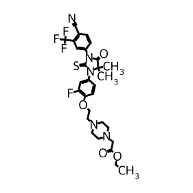 CCOC(=O)CN1CCN(CCOc2ccc(N3C(=S)N(c4ccc(C#N)c(C(F)(F)F)c4)C(=O)C3(C)C)cc2F)CC1